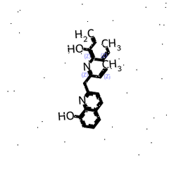 C=C/C(O)=C(\C=C/C)/N=C(\C=C/C)Cc1ccc2cccc(O)c2n1